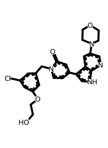 O=c1cc(-c2c[nH]c3ncc(N4CCOCC4)cc23)ccn1Cc1cc(Cl)cc(OCCO)c1